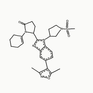 Cc1noc(C)c1-c1ccc2c(c1)nc(C1CCC(=O)N1C1=CCCCC1)n2C1CCN(S(C)(=O)=O)C1